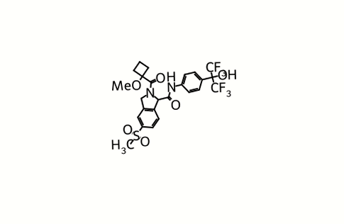 COC1(C(=O)N2Cc3cc(S(C)(=O)=O)ccc3C2C(=O)Nc2ccc(C(O)(C(F)(F)F)C(F)(F)F)cc2)CCC1